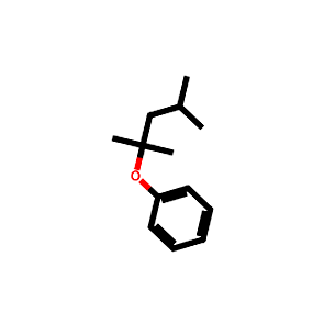 CC(C)CC(C)(C)Oc1ccccc1